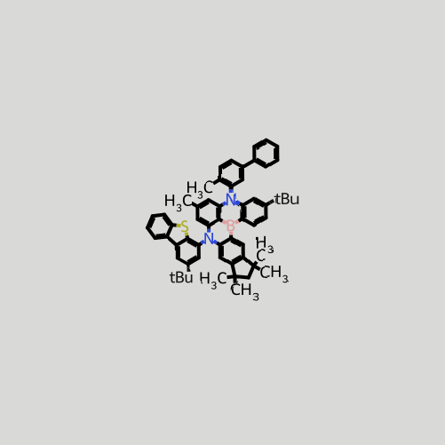 Cc1cc2c3c(c1)N(c1cc(C(C)(C)C)cc4c1sc1ccccc14)c1cc4c(cc1B3c1ccc(C(C)(C)C)cc1N2c1cc(-c2ccccc2)ccc1C)C(C)(C)CC4(C)C